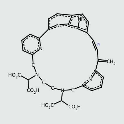 C=C1/C=C\c2ccc3ccc(nc3c2N)-c2cccc(n2)CN(C(C(=O)O)C(=O)O)CCN(C(C(=O)O)C(=O)O)Cc2cccc1n2